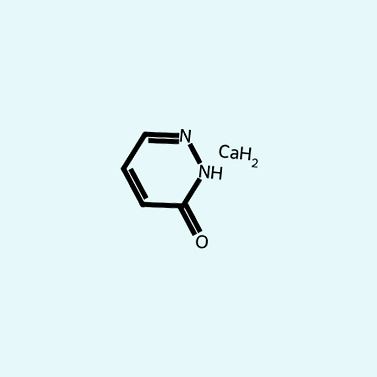 O=c1cccn[nH]1.[CaH2]